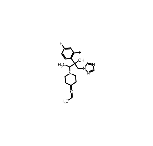 CC=C=C1CCN(C(C)C(O)(Cn2cncn2)c2ccc(F)cc2F)CC1